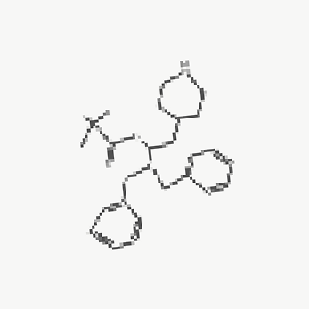 O=C(OC(CC1CCNCC1)N(Cc1ccccc1)Cc1ccccc1)C(F)(F)F